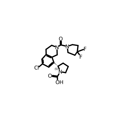 O=C(N1CCC(F)(F)CC1)N1CCc2cc(Cl)cc([C@@H]3CCCN3C(=O)O)c2C1